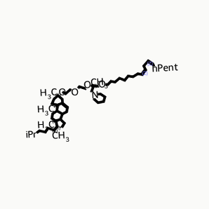 CCCCC/C=C\C/C=C\CCCCCCCCOC[C@@](C)(CN1CCCCC1)OCCOCCO[C@@]1(C)CC[C@@]2(C)C(=CCC3C2CC[C@@]2(C)C3CC[C@@H]2[C@H](C)CCCC(C)C)C1